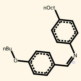 CCCCCCCCc1ccc(/N=C\c2ccc(OCCCC)cc2)cc1